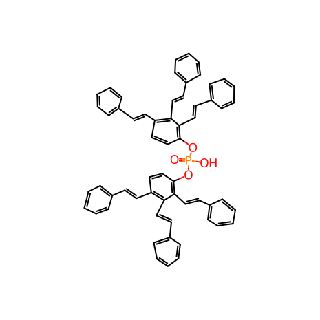 O=P(O)(Oc1ccc(C=Cc2ccccc2)c(C=Cc2ccccc2)c1C=Cc1ccccc1)Oc1ccc(C=Cc2ccccc2)c(C=Cc2ccccc2)c1C=Cc1ccccc1